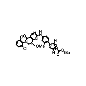 COc1cc(Nc2ncc3c(n2)N(C)CN(c2c(Cl)cccc2Cl)C3=O)ccc1N1C[C@@H]2C[C@H]1CN2C(=O)OC(C)(C)C